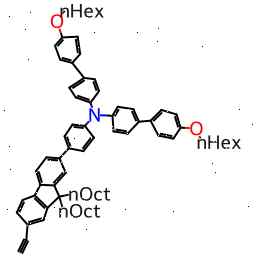 C#Cc1ccc2c(c1)C(CCCCCCCC)(CCCCCCCC)c1cc(-c3ccc(N(c4ccc(-c5ccc(OCCCCCC)cc5)cc4)c4ccc(-c5ccc(OCCCCCC)cc5)cc4)cc3)ccc1-2